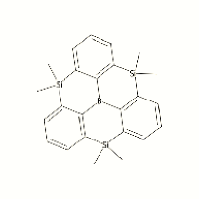 C[Si]1(C)c2cccc3c2B2c4c1cccc4[Si](C)(C)c1cccc(c12)[Si]3(C)C